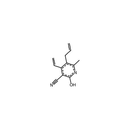 C=CCc1c(C)nc(O)c(C#N)c1C=C